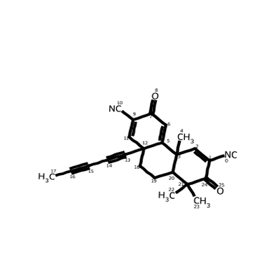 [C-]#[N+]C1=CC2(C)C3=CC(=O)C(C#N)=CC3(C#CC#CC)CCC2C(C)(C)C1=O